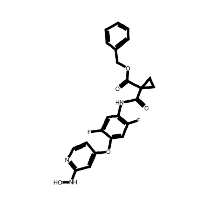 O=C(Nc1cc(F)c(Oc2ccnc(NO)c2)cc1F)C1(C(=O)OCc2ccccc2)CC1